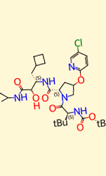 CC(C)(C)OC(=O)N[C@H](C(=O)N1CC(Oc2ccc(Cl)cn2)C[C@H]1C(=O)N[C@@H](CC1CCC1)C(O)C(=O)NC1CC1)C(C)(C)C